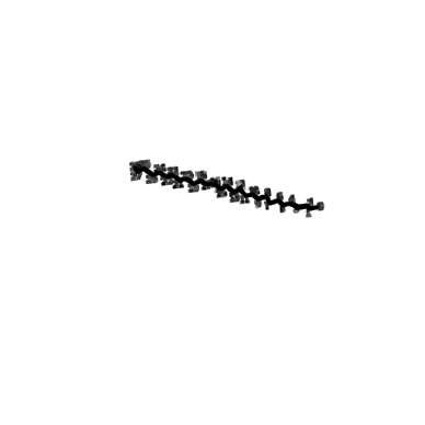 CCC=CCCCCCCCCCCCCCCCCCCCCCCCCC